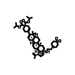 C=C(C)[C@@H]1CC[C@]2(NCCN3CCS(=O)(=O)CC3)CC[C@]3(C)[C@H](CC[C@@H]4[C@@]5(C)CC=C(C6=CCC(C(=O)OC(C)C)(C(=O)OC(C)C)CC6)C(C)(C)[C@@H]5CC[C@]43C)[C@@H]12